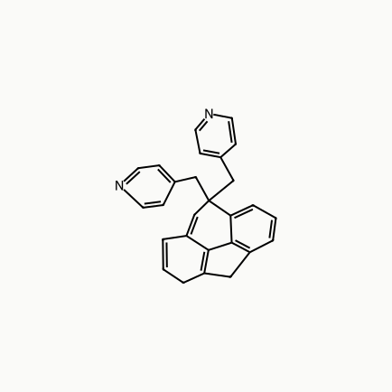 C1=CC2=CC(Cc3ccncc3)(Cc3ccncc3)c3cccc4c3C2=C(C1)C4